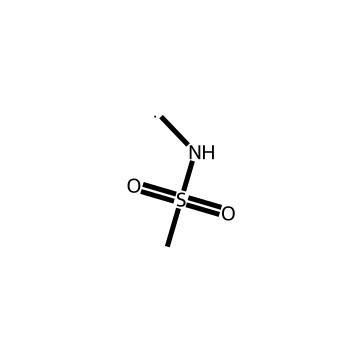 [CH2]NS(C)(=O)=O